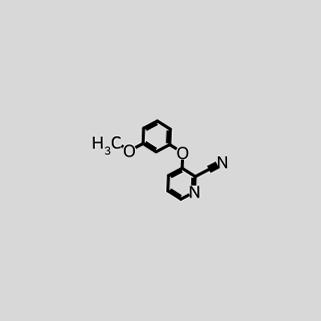 COc1cccc(Oc2cccnc2C#N)c1